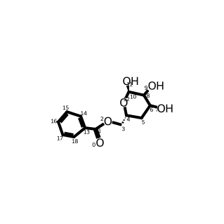 O=C(OC[C@H]1CC(O)C(O)[C@H](O)O1)c1ccccc1